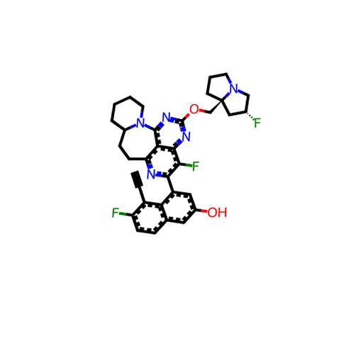 C#Cc1c(F)ccc2cc(O)cc(-c3nc4c5c(nc(OC[C@@]67CCCN6C[C@H](F)C7)nc5c3F)N3CCCCC3CC4)c12